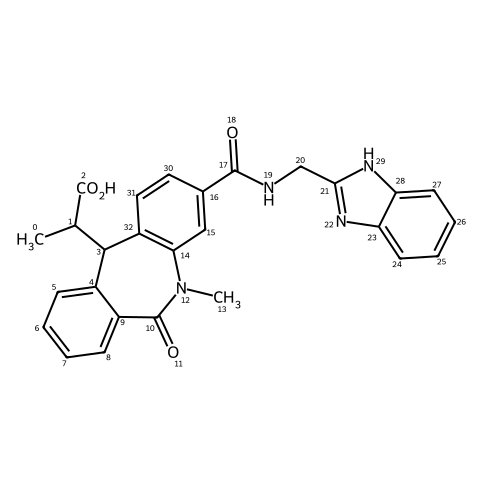 CC(C(=O)O)C1c2ccccc2C(=O)N(C)c2cc(C(=O)NCc3nc4ccccc4[nH]3)ccc21